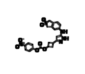 O=C(Oc1ccc([N+](=O)[O-])cc1)OC1CC(c2cc(Nc3ccc4c(c3)CS(=O)(=O)C4)[nH]n2)C1